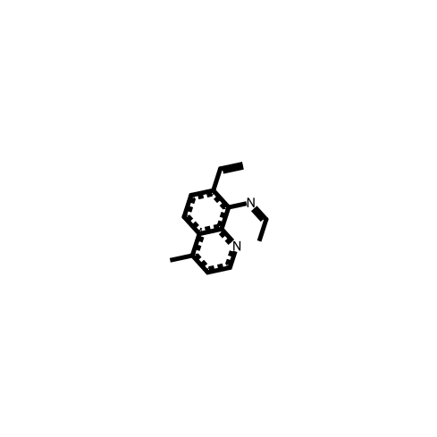 C=Cc1ccc2c(C)ccnc2c1/N=C\C